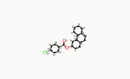 O=C(Oc1ccc2ccc3ccccc3c2c1)c1ccc(Cl)cc1